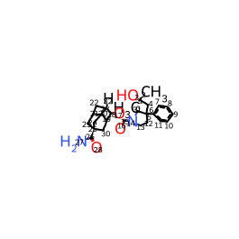 CC(C)(O)CC1(c2ccccc2)CCN(C(=O)OC2C3CC4C[C@H]2C[C@@](C(N)=O)(C4)C3)C1